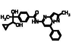 Cc1cc2nc(NC(=O)c3ccc([C@@](C)(O)C(O)C4CC4)cc3)cc(-c3ccccc3)n2n1